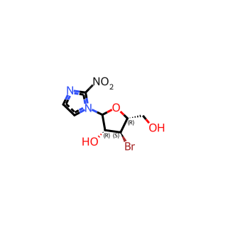 O=[N+]([O-])c1nccn1C1O[C@H](CO)[C@@H](Br)[C@@H]1O